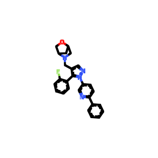 Fc1ccccc1-c1c(CN2CC3CC2CO3)cnn1-c1ccc(-c2ccccc2)nc1